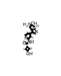 CC1(C)Cc2c(-c3ccnc(NC(=O)[C@H]4C[C@@H](O)C4)c3)cnn2C1